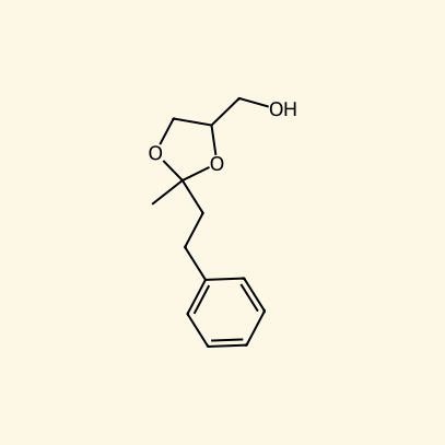 CC1(CCc2ccccc2)OCC(CO)O1